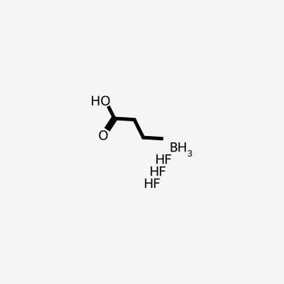 B.CCCC(=O)O.F.F.F